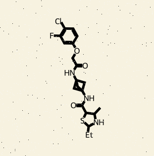 CCC1NC(C)C(C(=O)NC23CC(NC(=O)COc4ccc(Cl)c(F)c4)(C2)C3)S1